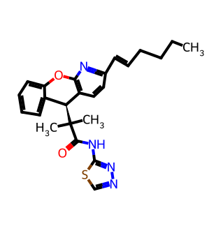 CCCC/C=C/c1ccc2c(n1)Oc1ccccc1[C@@H]2C(C)(C)C(=O)Nc1nncs1